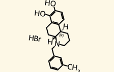 Br.Cc1cccc(CN2CCC[C@@H]3c4ccc(O)c(O)c4CC[C@H]32)c1